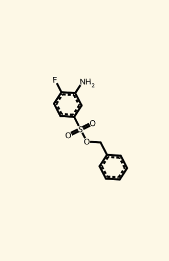 Nc1cc(S(=O)(=O)OCc2ccccc2)ccc1F